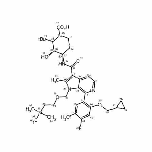 Cc1cc(-c2ncnc3c(C(=O)N[C@@H]4CCN(C(=O)O)C(C(C)(C)C)[C@@H]4O)c(C)n(COCC[Si](C)(C)C)c23)c(OCC2CC2)cc1F